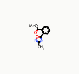 COC(=O)c1ccccc1-c1nc(C)no1